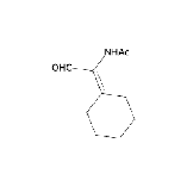 CC(=O)NC(C=O)=C1CCCCC1